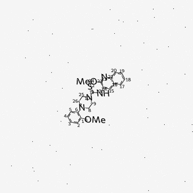 COc1ccccc1N1CCN(C(=S)Nc2cc3ccccc3nc2OC)CC1